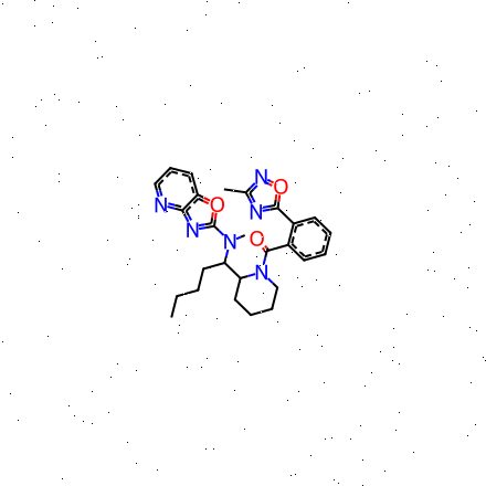 CCCCC(C1CCCCN1C(=O)c1ccccc1-c1nc(C)no1)N(C)c1nc2ncccc2o1